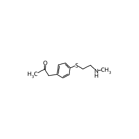 CNCCSc1ccc(CC(C)=O)cc1